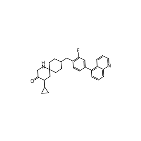 O=C1CNC2(CCC(Cc3ccc(-c4cccc5ncccc45)cc3F)CC2)CC1C1CC1